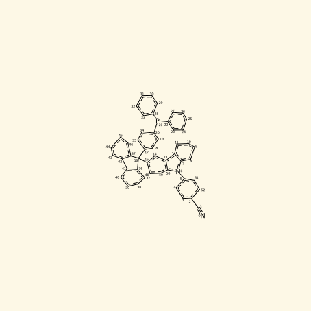 N#Cc1ccc(-n2c3ccccc3c3cc(C4(c5ccc(P(c6ccccc6)c6ccccc6)cc5)c5ccccc5-c5ccccc54)ccc32)cc1